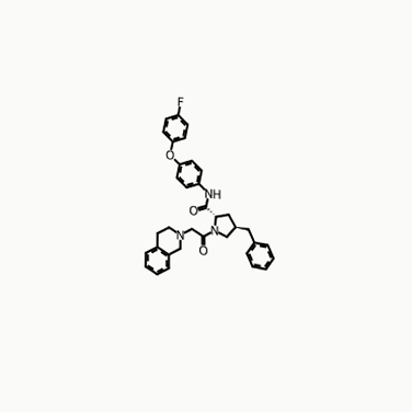 O=C(Nc1ccc(Oc2ccc(F)cc2)cc1)[C@@H]1C[C@@H](Cc2ccccc2)CN1C(=O)CN1CCc2ccccc2C1